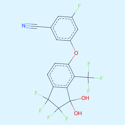 N#Cc1cc(F)cc(Oc2ccc3c(c2C(F)(F)F)C(O)(O)C(F)(F)C3(F)F)c1